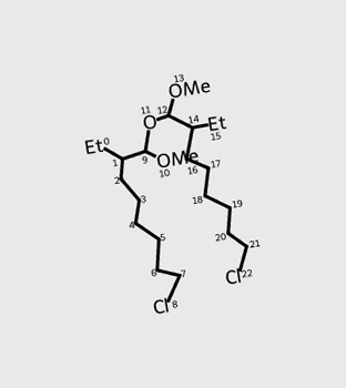 CCC(CCCCCCCl)C(OC)OC(OC)C(CC)CCCCCCCl